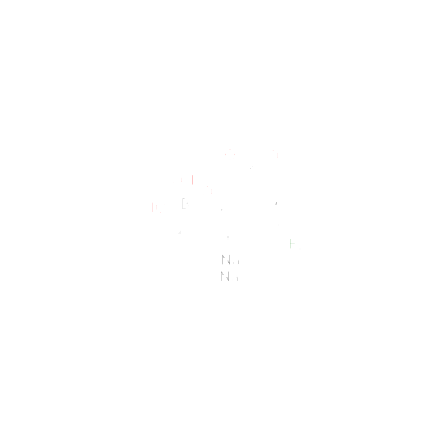 O=C([O-])c1cc(F)cc2c1O[B-](O)(O)CC2.[Na+].[Na+]